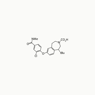 CNC(=O)c1ccc(Oc2ccc3c(c2)CCN(C(=O)O)CC3C(C)(C)C)c(Cl)c1